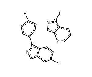 Fc1ccc(-n2ncc3cc(I)ccc32)cc1.In1ncc2ccccc21